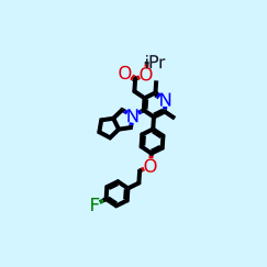 Cc1nc(C)c(-c2ccc(OCCc3ccc(F)cc3)cc2)c(N2CC3CCCC3C2)c1CC(=O)OC(C)C